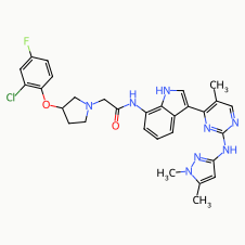 Cc1cnc(Nc2cc(C)n(C)n2)nc1-c1c[nH]c2c(NC(=O)CN3CCC(Oc4ccc(F)cc4Cl)C3)cccc12